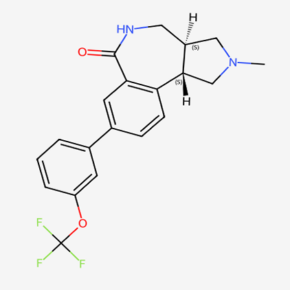 CN1C[C@@H]2CNC(=O)c3cc(-c4cccc(OC(F)(F)F)c4)ccc3[C@H]2C1